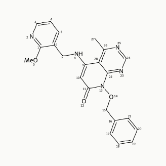 COc1ncccc1CNc1cc(=O)n(OCc2ccccc2)c2ncnc(C)c12